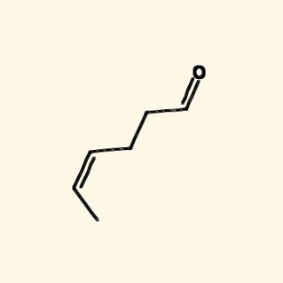 C/C=C\CCC=O